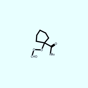 CCCCC(=O)C1(OOC=O)CCCCC1